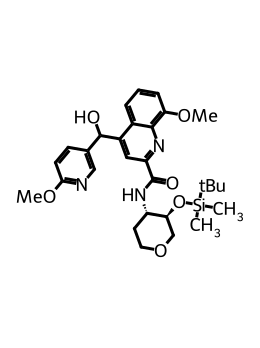 COc1ccc(C(O)c2cc(C(=O)N[C@H]3CCOC[C@@H]3O[Si](C)(C)C(C)(C)C)nc3c(OC)cccc23)cn1